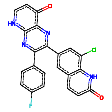 O=c1ccc2cc(-c3nc4c(=O)cc[nH]c4nc3-c3ccc(F)cc3)cc(Cl)c2[nH]1